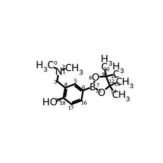 CN(C)Cc1cc(B2OC(C)(C)C(C)(C)O2)ccc1O